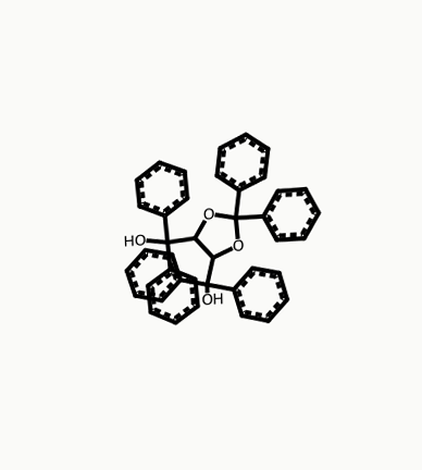 OC(c1ccccc1)(c1ccccc1)C1OC(c2ccccc2)(c2ccccc2)OC1C(O)(c1ccccc1)c1ccccc1